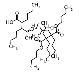 CCCCC(C(=O)O)C(CCCC)C(=O)O.CCCCOC(=O)C(CCCC)(CC(C)C)C(CCCC)(CC(C)C)C(=O)OCCCC